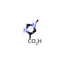 Cn1[c]nc(C(=O)O)c1